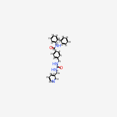 O=C(NCc1ccc(C(=O)Nc2ccccc2-c2ccccc2)cc1)NCc1cccnc1